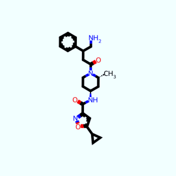 C[C@@H]1C[C@@H](NC(=O)c2cc(C3CC3)on2)CCN1C(=O)CC(CN)c1ccccc1